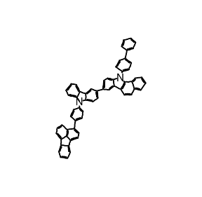 c1ccc(-c2ccc(-n3c4ccc(-c5ccc6c(c5)c5ccccc5n6-c5ccc(-c6ccc7c8c(cccc68)-c6ccccc6-7)cc5)cc4c4ccc5ccccc5c43)cc2)cc1